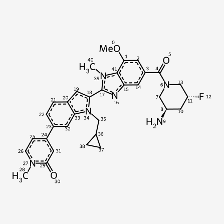 COc1cc(C(=O)N2C[C@H](N)C[C@@H](F)C2)cc2nc(-c3cc4ccc(-c5ccn(C)c(=O)c5)cc4n3CC3CC3)n(C)c12